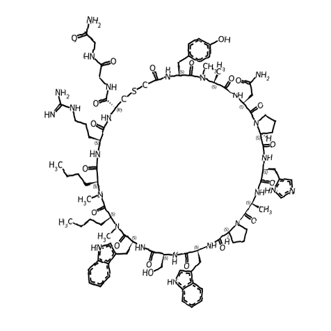 CCCC[C@H]1C(=O)N(C)[C@@H](CCCC)C(=O)N[C@@H](CCCNC(=N)N)C(=O)N[C@H](C(=O)NCC(=O)NCC(N)=O)CSCC(=O)N[C@@H](Cc2ccc(O)cc2)C(=O)N(C)[C@@H](C)C(=O)N[C@@H](CC(N)=O)C(=O)N2CCC[C@H]2C(=O)N[C@@H](Cc2cnc[nH]2)C(=O)N[C@@H](C)C(=O)N2CCC[C@H]2C(=O)N[C@@H](Cc2c[nH]c3ccccc23)C(=O)N[C@@H](CO)C(=O)N[C@@H](Cc2c[nH]c3ccccc23)C(=O)N1C